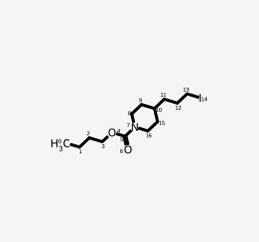 CCCCOC(=O)N1CCC(CCCI)CC1